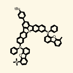 Cc1cccc2c1oc1c(N(c3ccccc3)c3ccc4cc5c6cc(-c7ccc(C(C)(C)C)cc7)cc7c8cc9ccc(N(c%10ccccc%10)c%10cccc%11c%10oc%10c([Si](C)(C)C)cccc%10%11)cc9cc8n(c5cc4c3)c67)cccc12